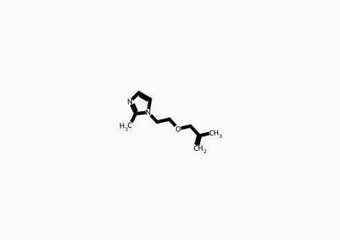 C=C(C)COCCn1ccnc1C